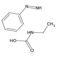 CCNC(=O)O.N=Nc1ccccc1